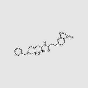 COc1ccc(C=CC(=O)NC(CC2CCN(Cc3ccccc3)CC2)NO)cc1OC